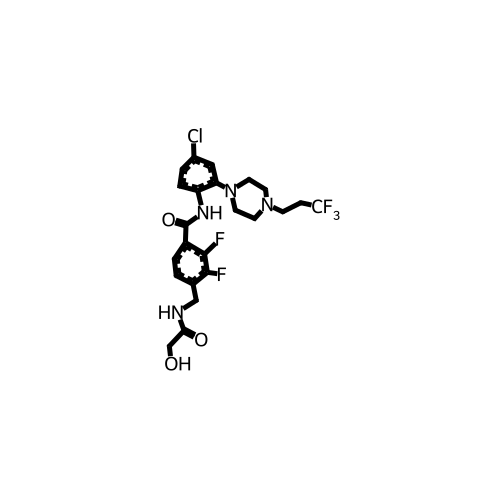 O=C(CO)NCc1ccc(C(=O)Nc2ccc(Cl)cc2N2CCN(CCC(F)(F)F)CC2)c(F)c1F